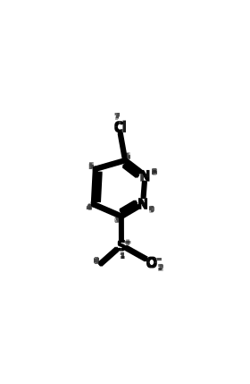 C[S+]([O-])c1ccc(Cl)nn1